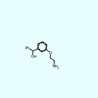 CC(C)C(O)c1cccc(OCCN)c1